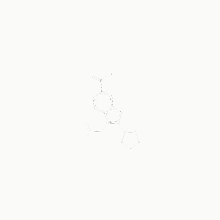 CC(C)Cn1c(C2CCCC2)nc2cc(C(=O)O)ccc21